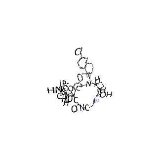 CC(C)NS(=O)(=O)NC(=O)[C@@]1(O)CC(=O)N(C)CC/C=C/[C@H](O)[C@@H]2CC[C@H]2CN2C[C@@]3(CCCc4cc(Cl)ccc43)COc3ccc1cc32